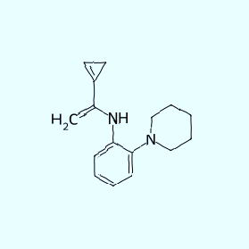 C=C(Nc1ccccc1N1CCCCC1)C1=CC1